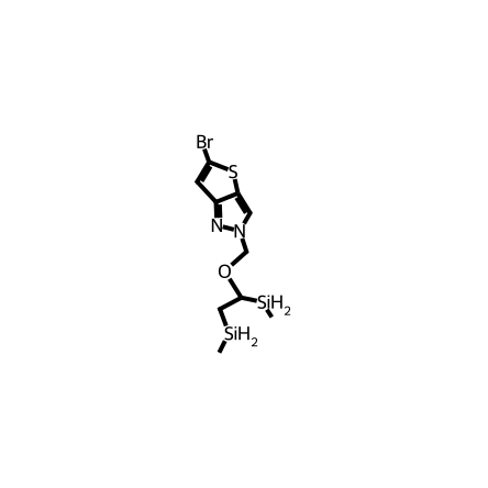 C[SiH2]CC(OCn1cc2sc(Br)cc2n1)[SiH2]C